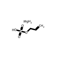 C=CCOS(=O)(=O)O.[MgH2]